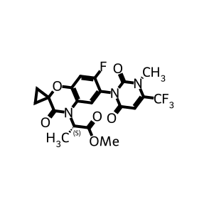 COC(=O)[C@H](C)N1C(=O)C2(CC2)Oc2cc(F)c(-n3c(=O)cc(C(F)(F)F)n(C)c3=O)cc21